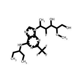 CCC(CC)Nc1nc(C(F)(F)F)nc2c1ncn2C(C)C(F)C(O)C(CO)OC